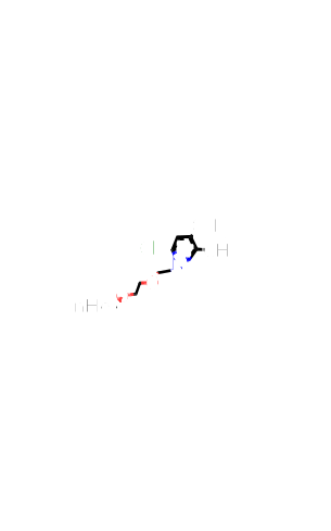 CCCCCCOCCOCC[n+]1ccc(C)c(C)c1.[Cl-]